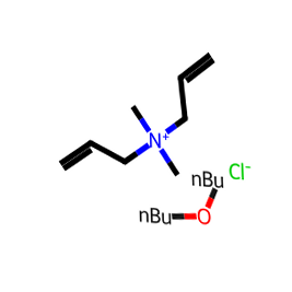 C=CC[N+](C)(C)CC=C.CCCCOCCCC.[Cl-]